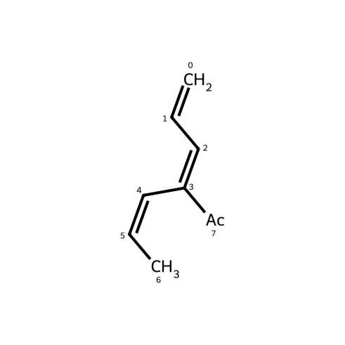 C=C/C=C(\C=C/C)C(C)=O